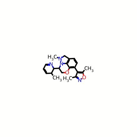 Cc1noc(C)c1-c1ccc2c3c1OCC(C1N=CC=CC1C)N3N(C)C2